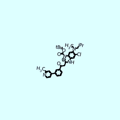 Cc1cc(-c2cccc(C(=O)CC(=O)Nc3cc(Cl)c(N(C)CC(C)C)cc3NC(=O)OC(C)(C)C)c2)ccn1